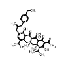 C=C(Cc1ccc(CC)cc1)Cc1cc(C(C)C)c2c(c1O)C(=O)C1=C(O)[C@@]3(O)C(=O)C(C(C)=O)=C(O)C(C(C)C)[C@@]3(C)C[C@@]1(C)C2